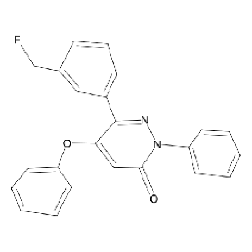 O=c1cc(Oc2ccccc2)c(-c2cccc(CF)c2)nn1-c1ccccc1